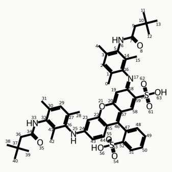 Cc1cc(C)c(NC(=O)CC(C)(C)C)c(C)c1/N=c1\cc2oc3cc(Nc4c(C)cc(C)c(NC(=O)CC(C)(C)C)c4C)ccc3c(-c3ccccc3S(=O)(=O)O)c-2cc1S(=O)(=O)O